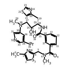 Cc1csc(CN(C)C(=O)c2cccc(C(=O)N[C@@H](Cc3cscn3)[C@H](O)CN(C)c3cncc(C(C)C)c3)c2)n1